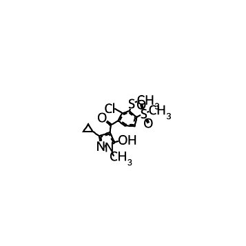 CSc1c(S(C)(=O)=O)ccc(C(=O)c2c(C3CC3)nn(C)c2O)c1Cl